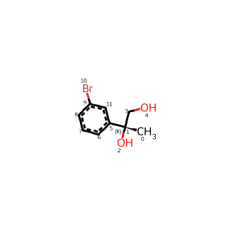 C[C@](O)(CO)c1cccc(Br)c1